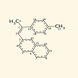 CC(=Cc1ccc2ccccc2c1)c1ccc(C)cc1